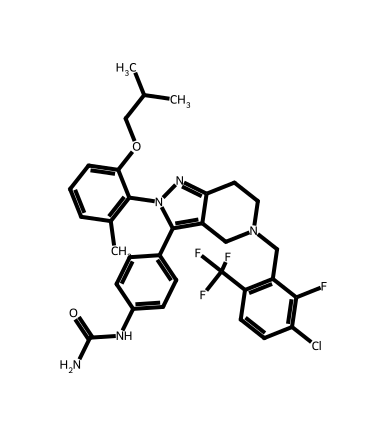 Cc1cccc(OCC(C)C)c1-n1nc2c(c1-c1ccc(NC(N)=O)cc1)CN(Cc1c(C(F)(F)F)ccc(Cl)c1F)CC2